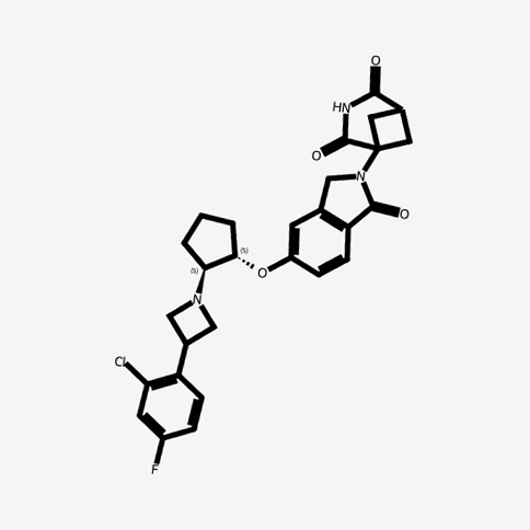 O=C1NC(=O)C2(N3Cc4cc(O[C@H]5CCC[C@@H]5N5CC(c6ccc(F)cc6Cl)C5)ccc4C3=O)CC1C2